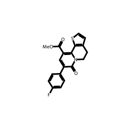 COC(=O)c1cc(-c2ccc(F)cc2)c(=O)n2c1-c1sccc1CC2